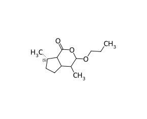 CCCOC1OC(=O)C2C(CC[C@@H]2C)C1C